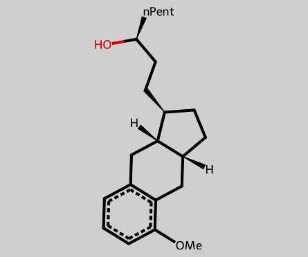 CCCCC[C@H](O)CC[C@H]1CC[C@@H]2Cc3c(cccc3OC)C[C@H]12